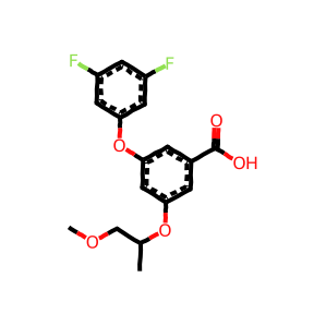 COCC(C)Oc1cc(Oc2cc(F)cc(F)c2)cc(C(=O)O)c1